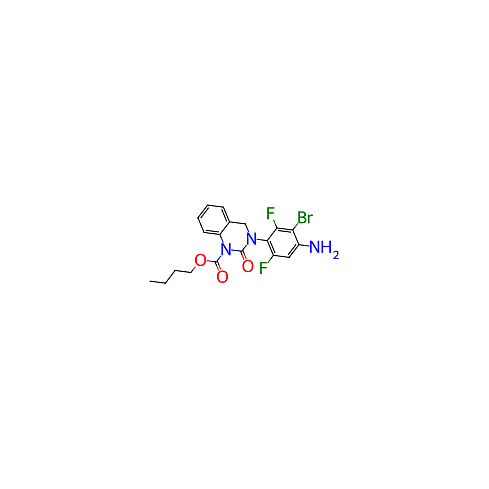 CCCCOC(=O)N1C(=O)N(c2c(F)cc(N)c(Br)c2F)Cc2ccccc21